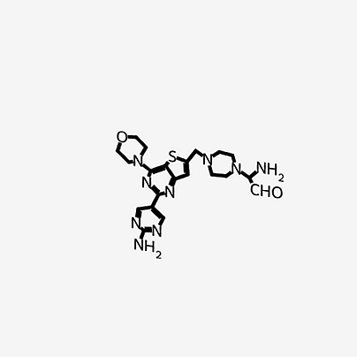 Nc1ncc(-c2nc(N3CCOCC3)c3sc(CN4CCN(C(N)C=O)CC4)cc3n2)cn1